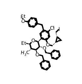 CCOc1ccc(Cc2cc([C@@H]3O[C@H](CC)[C@@H](C)[C@H](OCc4ccccc4)[C@H]3OCc3ccccc3)c(OC[C@H]3C[C@H]3CI)cc2Cl)cc1